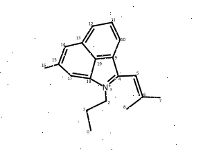 CCC[N+]1=C(C=C(C)C)c2cccc3cc(C)cc1c23